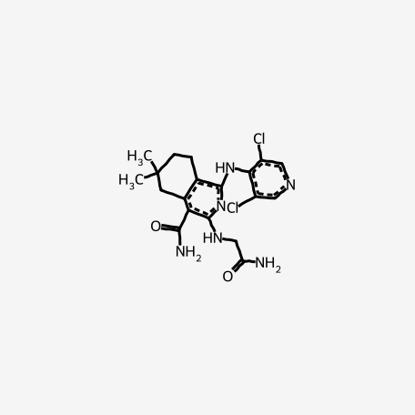 CC1(C)CCc2c(Nc3c(Cl)cncc3Cl)nc(NCC(N)=O)c(C(N)=O)c2C1